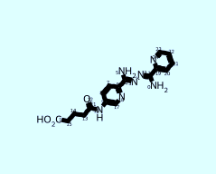 N/C(=N\N=C(/N)c1ccc(NC(=O)CCCC(=O)O)cn1)c1ccccn1